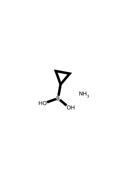 N.OB(O)C1CC1